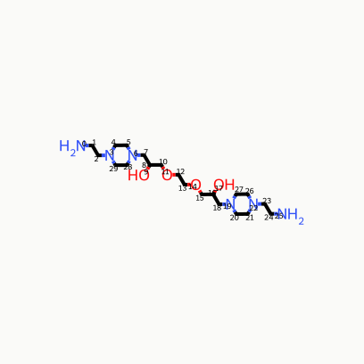 NCCN1CCN(CC(O)COCCOCC(O)CN2CCN(CCN)CC2)CC1